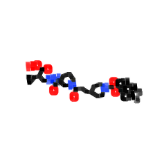 CC(C)(C)OC(=O)N1CCC(CCC(=O)N2CCC[C@@H](C(=O)NCC(C(=O)O)C3CC3)C2)CC1